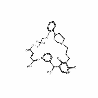 CC(c1cccnc1)c1c[nH]c(=O)n(CCCN2CCN(c3ccccc3OCC(F)(F)F)CC2)c1=O.O=C(O)/C=C/C(=O)O